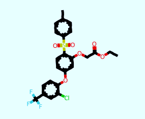 CCOC(=O)COc1cc(Oc2ccc(C(F)(F)F)cc2Cl)ccc1S(=O)(=O)c1ccc(C)cc1